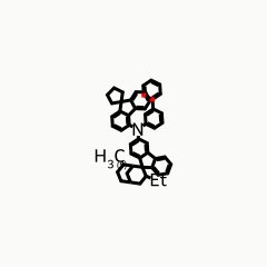 CCC1CC2CC[C@H](C)C(C2)C12c1ccccc1-c1cc(N(c3cccc(-c4ccccc4)c3)c3cccc4c3-c3ccccc3C43CCCC3)ccc12